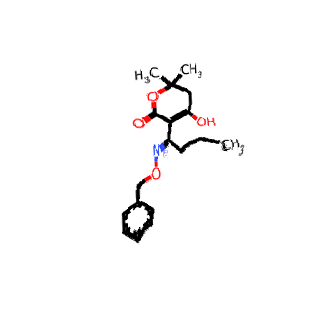 CCC/C(=N\OCc1ccccc1)C1=C(O)CC(C)(C)OC1=O